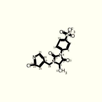 CC1C(=O)N(c2ccc(S(=O)(=O)C(F)(F)F)cc2)C(=O)N1Cc1ccnc(Cl)c1